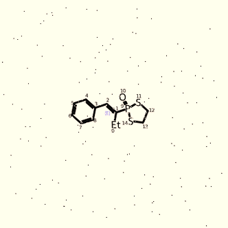 CC/C(=C\c1ccccc1)P1(=O)SCCS1